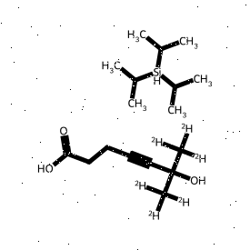 CC(C)[SiH](C(C)C)C(C)C.[2H]C([2H])([2H])C(O)(C#CCCC(=O)O)C([2H])([2H])[2H]